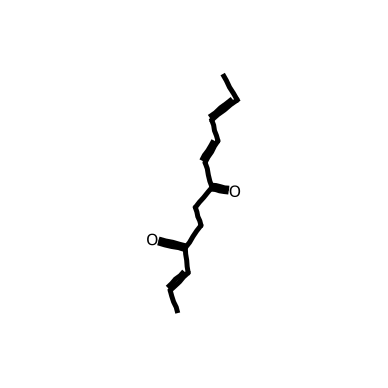 CC=CC=CC(=O)CCC(=O)C=CC